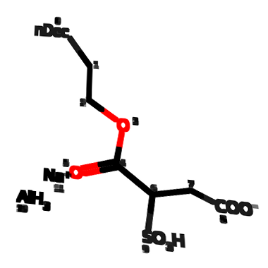 CCCCCCCCCCCCOC(=O)C(CC(=O)[O-])S(=O)(=O)O.[AlH3].[Na+]